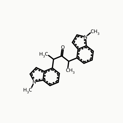 CC(C(=O)C(C)c1cccc2c1ccn2C)c1cccc2c1ccn2C